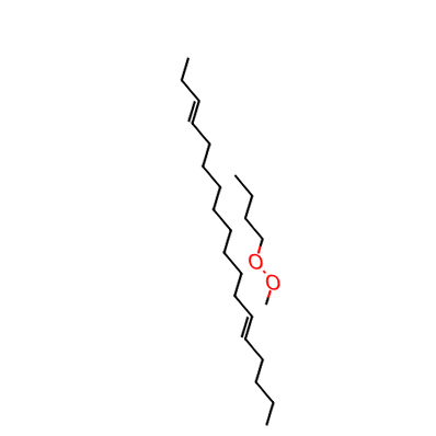 CC/C=C/CCCCCCCC/C=C/CCCC.CCCCOOC